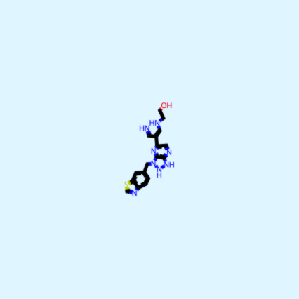 N=C/C(=C\NCCO)c1cnc2c(n1)N(Cc1ccc3ncsc3c1)NN2